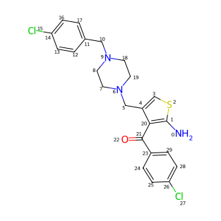 Nc1scc(CN2CCN(Cc3ccc(Cl)cc3)CC2)c1C(=O)c1ccc(Cl)cc1